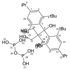 CC(C)c1cc(C(C)(C)C)c(C(O)(c2c(C(C)(C)C)cc(C(C)C)cc2C(C)(C)C)C(CO)(CO)CO)c(C(C)(C)C)c1.OP(O)OP(O)O